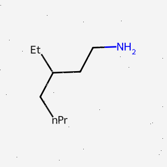 CCCCC(CC)CCN